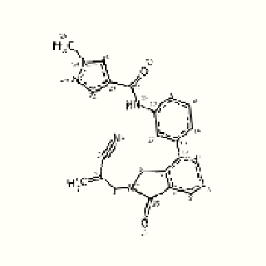 C=C(C#N)CN1Cc2c(cccc2-c2cccc(NC(=O)c3cnn(C)c3)c2)C1=O